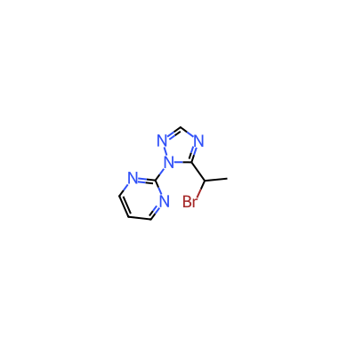 CC(Br)c1ncnn1-c1ncccn1